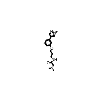 CN(C)CC(=O)NCCCOc1c[c]cc(-c2cnn(C)c2)c1